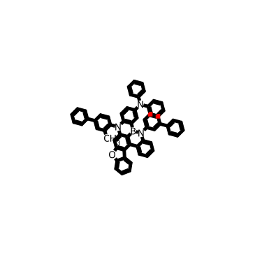 Cc1cc(-c2ccccc2)ccc1N1c2ccc(N(c3ccccc3)c3ccccc3)cc2B2c3c1cc1oc4ccccc4c1c3-c1ccccc1N2c1cccc(-c2ccccc2)c1